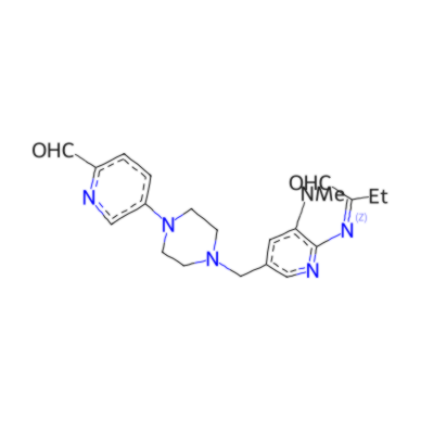 CC/C(C=O)=N/c1ncc(CN2CCN(c3ccc(C=O)nc3)CC2)cc1NC